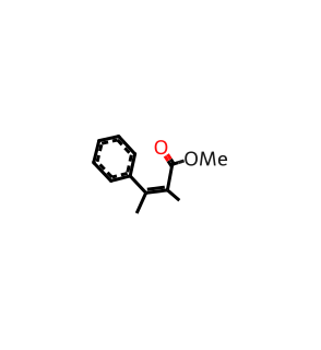 COC(=O)/C(C)=C(/C)c1ccccc1